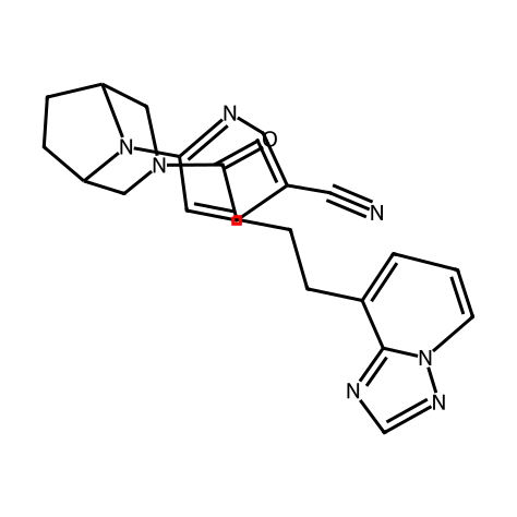 N#Cc1ccc(N2C3CCC2CN(C(=O)CCCc2cccn4ncnc24)C3)nc1